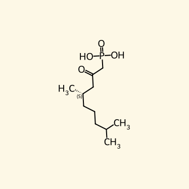 CC(C)CCC[C@H](C)CC(=O)CP(=O)(O)O